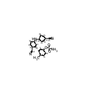 Cc1ccc(OS(N)(=O)=O)cc1.N#Cc1ccc(Nc2ccc(C#N)cc2)cc1